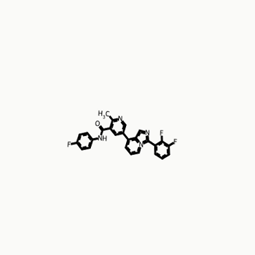 Cc1ncc(-c2cccn3c(-c4cccc(F)c4F)ncc23)cc1C(=O)Nc1ccc(F)cc1